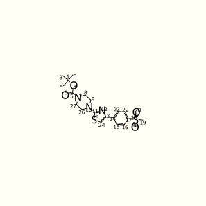 CC(C)(C)OC(=O)N1CCN(c2nc(-c3ccc(S(C)(=O)=O)cc3)cs2)CC1